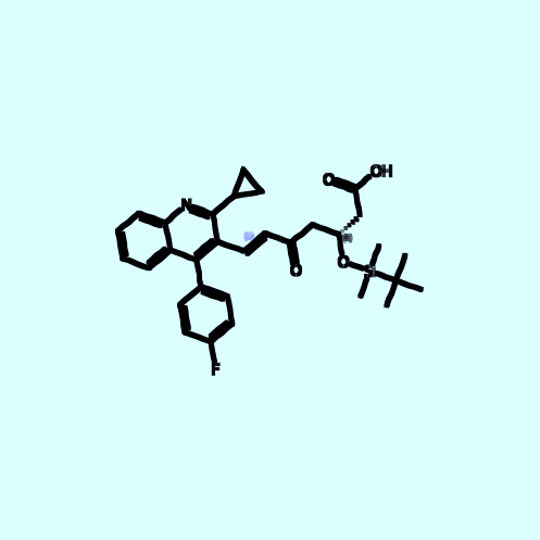 CC(C)(C)[Si](C)(C)O[C@@H](CC(=O)O)CC(=O)/C=C/c1c(C2CC2)nc2ccccc2c1-c1ccc(F)cc1